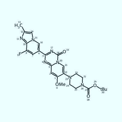 COc1cc2nc(-c3cc(F)c4nc(C)cn4c3)nc(=O)n2cc1N1CCN(C(=O)OC(C)(C)C)CC1